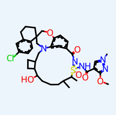 COc1nn(C)cc1C(=O)NS1(=O)=NC(=O)c2ccc3c(c2)N(CC2CCC2C(O)CCCC(C)C1C)CC1(CCCc2cc(Cl)ccc21)CO3